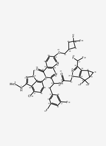 CSNc1nn(C)c2c(-n3c(C(Cc4cc(F)cc(F)c4)NC(=O)Cn4nc(C(F)F)c5c4C(F)(F)C4CC54)nc4nc(OCC5CC(F)(F)C5)ccc4c3=O)ccc(Cl)c12